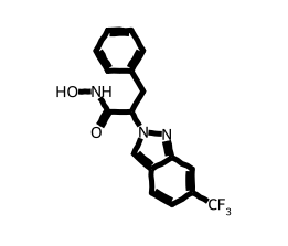 O=C(NO)C(Cc1ccccc1)n1cc2ccc(C(F)(F)F)cc2n1